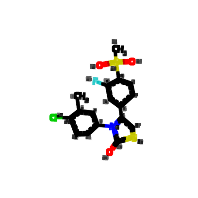 Cc1cc(-n2c(-c3ccc(S(C)(=O)=O)c(F)c3)csc2=O)ccc1Cl